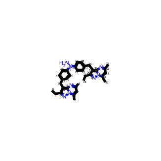 CCc1nn2c(C)cc(C)nc2c1Cc1ccc(N(N)c2ccc(Cc3c(CC)nn4c(C)cc(C)nc34)cc2)cc1